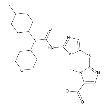 CC1CCC(N(C(=O)Nc2ncc(Sc3ncc(C(=O)O)n3C)s2)C2CCOCC2)CC1